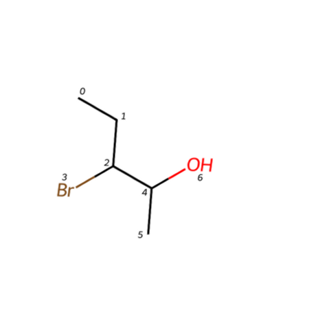 CCC(Br)C(C)O